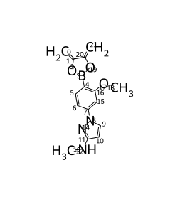 C=C1OB(c2ccc(-n3ccc(NC)n3)cc2OC)OC1=C